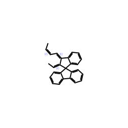 C\C=C/C=C1\C(=C/C)C2(c3ccccc31)c1ccccc1-c1ccccc12